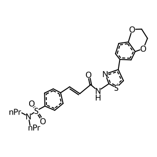 CCCN(CCC)S(=O)(=O)c1ccc(C=CC(=O)Nc2nc(-c3ccc4c(c3)OCCO4)cs2)cc1